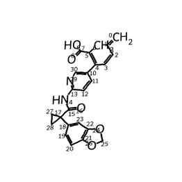 C=C/C=C\C(=C(/C)C(=O)O)c1ccc(NC(=O)C2(c3ccc4c(c3)OCO4)CC2)nc1